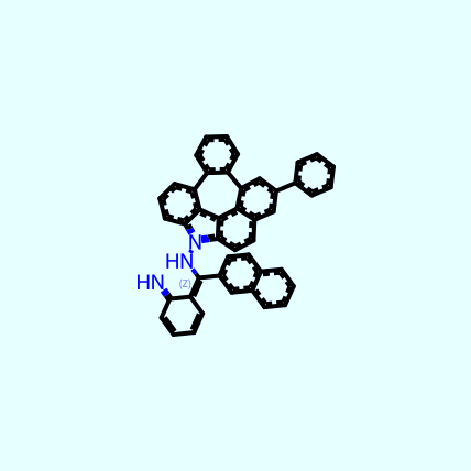 N=C1C=CC=C/C1=C(/Nn1c2cccc3c2c2c4c(cc(-c5ccccc5)cc4ccc21)-c1ccccc1-3)c1ccc2ccccc2c1